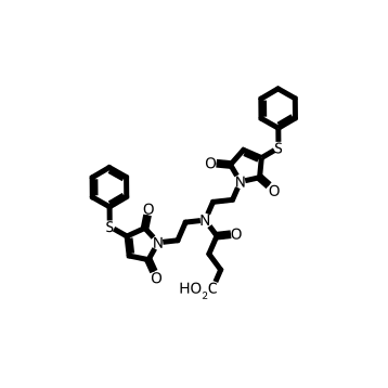 O=C(O)CCC(=O)N(CCN1C(=O)C=C(SC2=CCCC=C2)C1=O)CCN1C(=O)C=C(Sc2ccccc2)C1=O